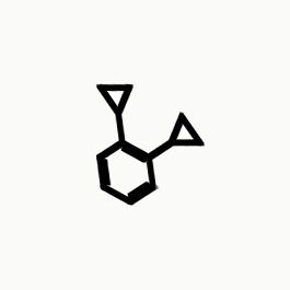 [c]1cccc(C2CC2)c1C1CC1